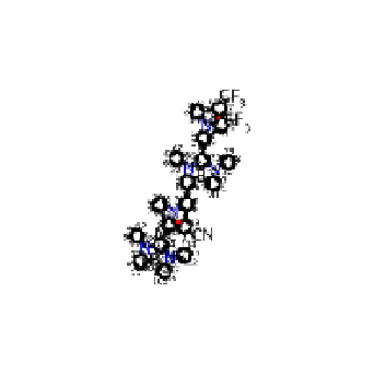 N#Cc1cc(C#N)cc(-c2ccc(-c3ccc4c(c3)B3c5ccccc5N(c5ccccc5)c5cc(-c6ccc7c(c6)c6ccccc6n7-c6ccccc6-c6cc(C(F)(F)F)cc(C(F)(F)F)c6)cc(c53)N4c3ccccc3)cc2-n2c3ccccc3c3cc(-c4cc5c6c(c4)N(c4ccccc4)c4ccccc4B6c4ccccc4N5c4ccccc4)ccc32)c1